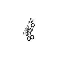 [2H]C([2H])(N[C@]([2H])(C)c1cccc2ccccc12)C([2H])([2H])C([2H])([2H])c1cccc(C(F)(F)F)c1